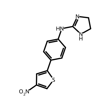 O=[N+]([O-])c1csc(-c2ccc(NC3=NCCN3)cc2)c1